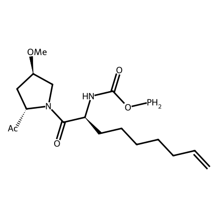 C=CCCCCC[C@H](NC(=O)OP)C(=O)N1C[C@H](OC)C[C@H]1C(C)=O